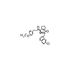 COc1ccc(CCNC(=O)C2CCCN2C(=O)NCc2csc3ccc(Cl)cc23)cc1